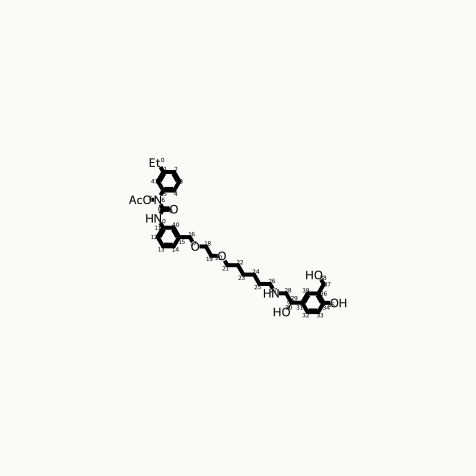 CCc1cccc(N(OC(C)=O)C(=O)Nc2cccc(COCCOCCCCCCNC[C@@H](O)c3ccc(O)c(CO)c3)c2)c1